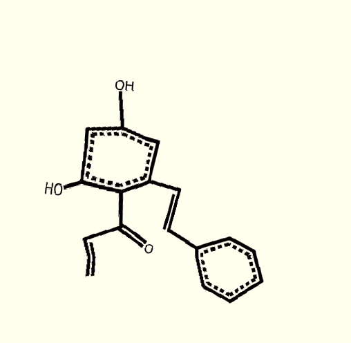 C=CC(=O)c1c(O)cc(O)cc1/C=C/c1ccccc1